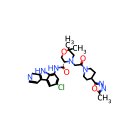 Cc1nnc(C2CCN(C(=O)CN3CC(C)(C)OC[C@H]3C(=O)Nc3cc(Cl)cc4c3[nH]c3cnccc34)CC2)o1